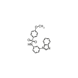 COc1ccc(S(=O)(=O)Nc2cccc(-n3cnc4ccccc43)c2)cc1